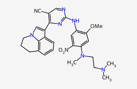 COc1cc(N(C)CCN(C)C)c([N+](=O)[O-])cc1Nc1ncc(C#N)c(-c2cn3c4c(cccc24)CCC3)n1